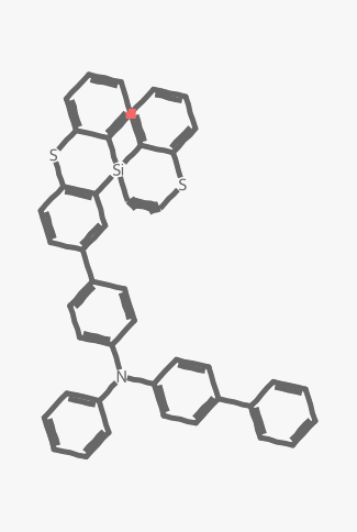 c1ccc(-c2ccc(N(c3ccccc3)c3ccc(-c4ccc5c(c4)[Si]4(c6ccccc6Sc6ccccc64)c4ccccc4S5)cc3)cc2)cc1